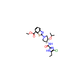 CCOC(=O)c1cccc2nc(N3CC[C@@H](NC(=O)c4nc(Cl)c(CC)[nH]4)[C@@H](OC(C)C)C3)sc12